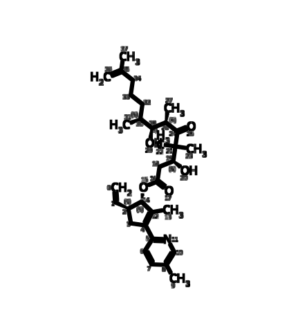 C=C[C@@H]1CC(c2ccc(C)cn2)=C(C)[C@H]1OC(=O)C[C@H](O)C(C)(C)C(=O)[C@H](C)[C@@H](O)[C@@H](C)CCCC(=C)C